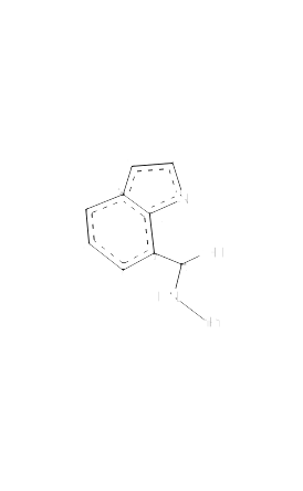 CC(C)NC(O)c1cccc2cc[nH]c12